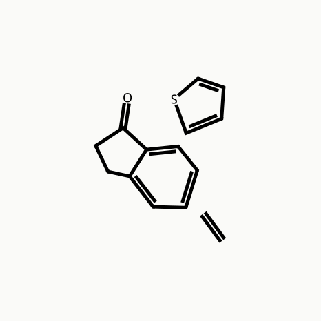 C=C.O=C1CCc2ccccc21.c1ccsc1